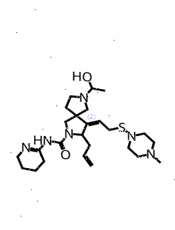 C=CCC1/C(=C\CSN2CCN(C)CC2)C2(CCN(C(C)O)C2)CN1C(=O)NC1=NCCCC1